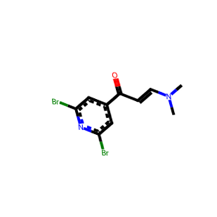 CN(C)/C=C/C(=O)c1cc(Br)nc(Br)c1